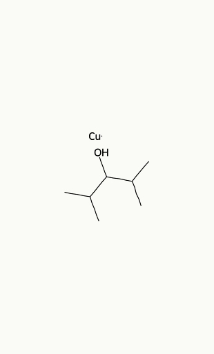 CC(C)C(O)C(C)C.[Cu]